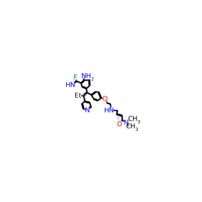 CC/C(=C(/c1ccc(OCCNC/C=C/C(=O)N(C)C)cc1)c1ccc(N)c(C(=N)F)c1)c1ccncc1